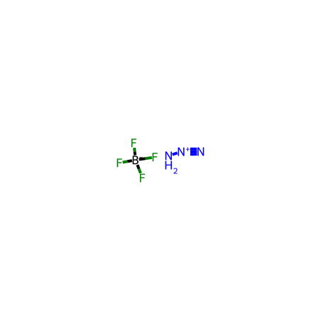 F[B-](F)(F)F.N#[N+]N